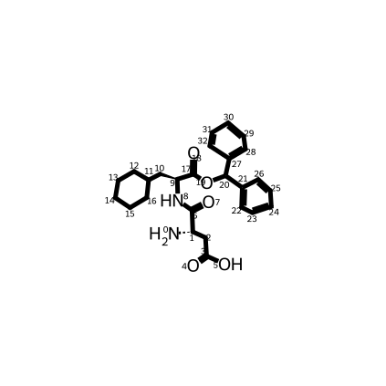 N[C@@H](CC(=O)O)C(=O)N[C@@H](CC1CCCCC1)C(=O)OC(c1ccccc1)c1ccccc1